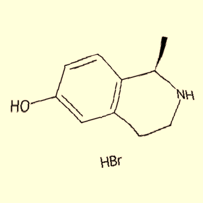 Br.C[C@H]1NCCc2cc(O)ccc21